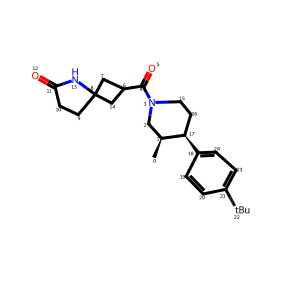 C[C@H]1CN(C(=O)C2CC3(CCC(=O)N3)C2)CC[C@H]1c1ccc(C(C)(C)C)cc1